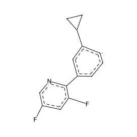 Fc1cnc(-c2cc[c]c(C3CC3)c2)c(F)c1